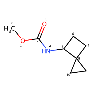 COC(=O)NC1CCC12CC2